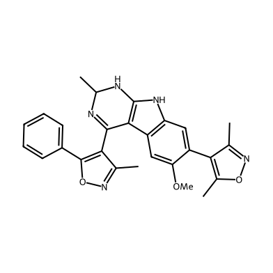 COc1cc2c3c([nH]c2cc1-c1c(C)noc1C)NC(C)N=C3c1c(C)noc1-c1ccccc1